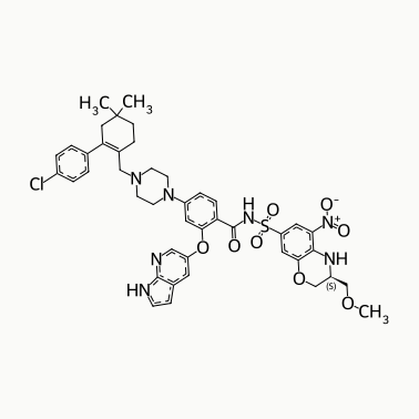 COC[C@H]1COc2cc(S(=O)(=O)NC(=O)c3ccc(N4CCN(CC5=C(c6ccc(Cl)cc6)CC(C)(C)CC5)CC4)cc3Oc3cnc4[nH]ccc4c3)cc([N+](=O)[O-])c2N1